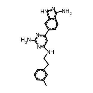 Cc1cccc(CCNc2cc(-c3ccc4c(N)n[nH]c4c3)nc(N)n2)c1